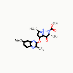 COc1ccc2nc(C(F)(F)F)c(OC3CC(C(=O)O)NC3C(=O)[C@H](NC(=O)OC(C)(C)C)C(C)(C)C)nc2c1